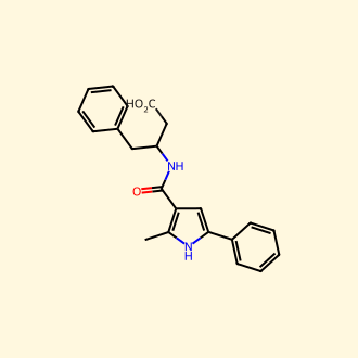 Cc1[nH]c(-c2ccccc2)cc1C(=O)NC(CC(=O)O)Cc1ccccc1